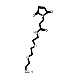 O=C(O)CCOCCOCCNC(=O)CCN1C(=O)C=CC1=O